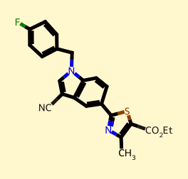 CCOC(=O)c1sc(-c2ccc3c(c2)c(C#N)cn3Cc2ccc(F)cc2)nc1C